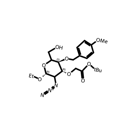 CCO[C@@H]1OC(CO)[C@@H](OCc2ccc(OC)cc2)[C@H](OCC(=O)OC(C)(C)C)C1N=[N+]=[N-]